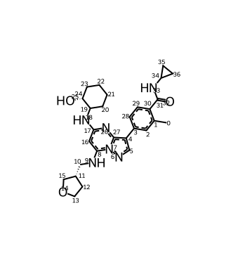 Cc1cc(-c2cnn3c(NC[C@@H]4CCOC4)cc(NC4CCCC[C@H]4O)nc23)ccc1C(=O)NC1CC1